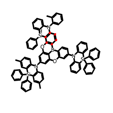 Cc1ccc2c(c1)[Si](c1ccccc1)(c1ccccc1)c1cc(C)ccc1N2c1cc2c3c(c1)Oc1cc(N4c5ccccc5[Si](c5ccccc5)(c5ccccc5)c5ccccc54)ccc1B3c1ccc(N(c3ccccc3C)c3ccccc3[SiH](c3ccccc3)c3ccccc3)cc1O2